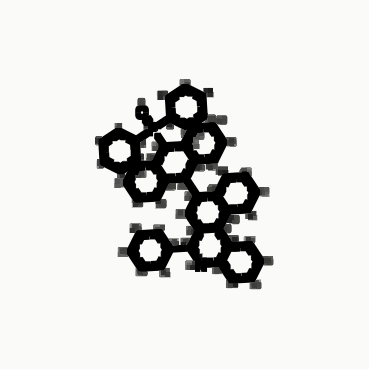 O=P(c1ccccc1)(c1ccccc1)c1c2ccccc2c(-c2cc3c(-c4ccccc4)nc4ccccc4c3c3ccccc23)c2ccccc12